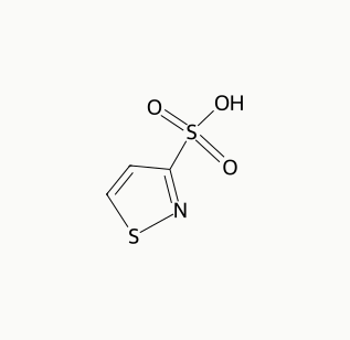 O=S(=O)(O)c1ccsn1